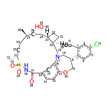 CCCCc1cc(Cl)ccc1[C@@H]1COc2ccc3cc2N(C1)C[C@@H]1CC[C@H]1[C@@H](O)C[C@H](C)CC[C@@H](C)S(=O)(=O)NC3=O